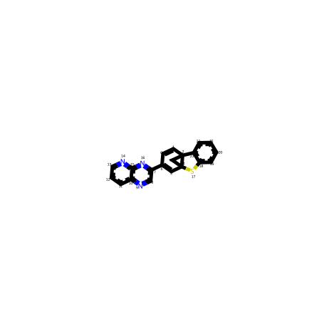 C1=CC23CC2(C=C1c1cnc2cccnc2n1)Sc1ccccc13